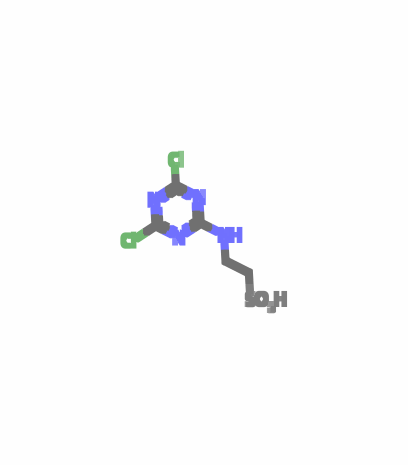 O=S(=O)(O)CCNc1nc(Cl)nc(Cl)n1